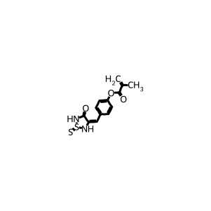 C=C(C)C(=O)Oc1ccc(/C=C2/NS(=S)NC2=O)cc1